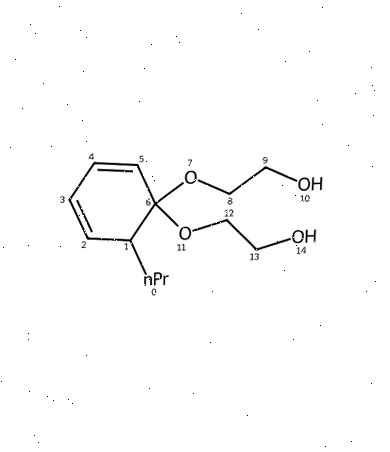 CCCC1C=CC=CC1(OCCO)OCCO